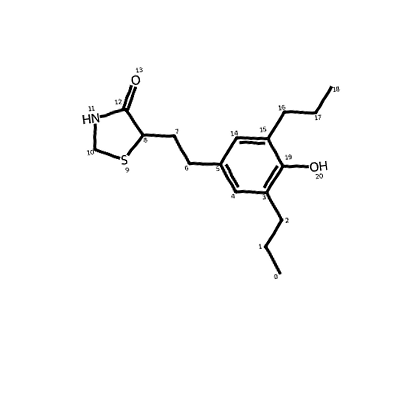 CCCc1cc(CCC2SCNC2=O)cc(CCC)c1O